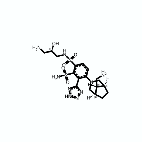 NC[C@@H](O)CNS(=O)(=O)c1ccc(N2C[C@H]3CC[C@@H](C2)[C@@H]3CN)c(-c2nn[nH]n2)c1S(N)(=O)=O